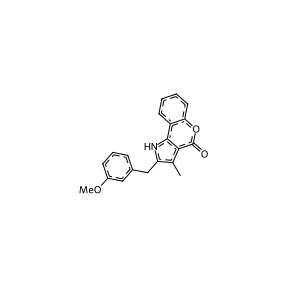 COc1cccc(Cc2[nH]c3c(c2C)c(=O)oc2ccccc23)c1